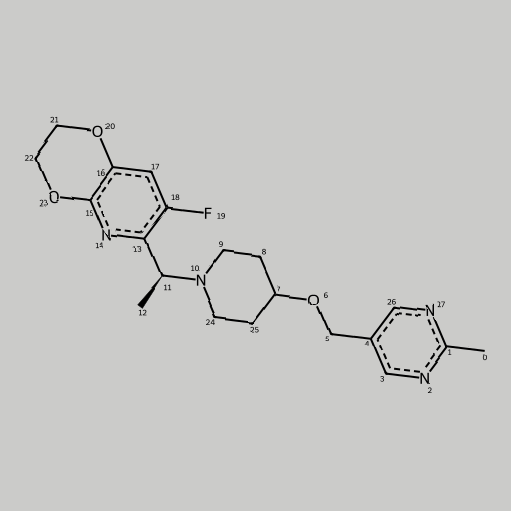 Cc1ncc(COC2CCN([C@@H](C)c3nc4c(cc3F)OCCO4)CC2)cn1